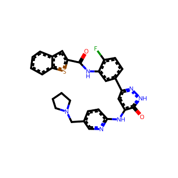 O=C(Nc1cc(-c2cc(Nc3ccc(CN4CCCC4)cn3)c(=O)[nH]n2)ccc1F)c1cc2ccccc2s1